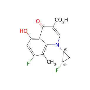 Cc1c(F)cc(O)c2c(=O)c(C(=O)O)cn([C@@H]3C[C@@H]3F)c12